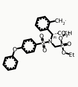 [CH2]c1ccccc1[C@H](C(=O)O)N(CP(=O)(OCC)OCC)S(=O)(=O)c1ccc(Oc2ccccc2)cc1